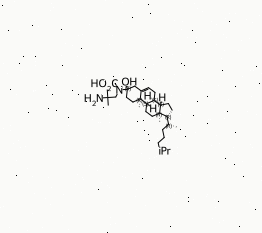 CC(C)CCC[C@@H](C)[C@H]1CC[C@H]2[C@@H]3CC=C4C[C@@](O)(N(CC(C)(C)N)C(=O)O)CC[C@]4(C)[C@H]3CC[C@]12C